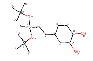 C[Si](C)(C)O[Si](C)(CCC1CCC(O)C(O)C1)O[Si](C)(C)C